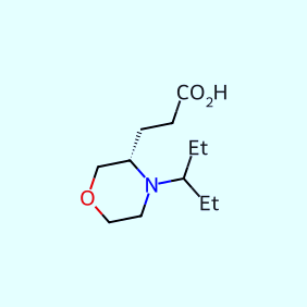 CCC(CC)N1CCOC[C@@H]1CCC(=O)O